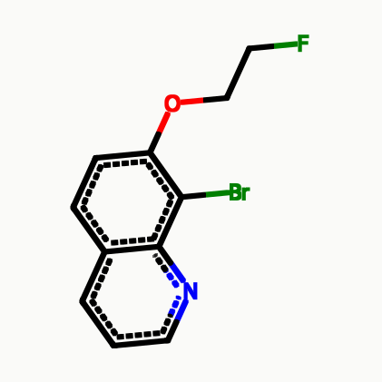 FCCOc1ccc2cccnc2c1Br